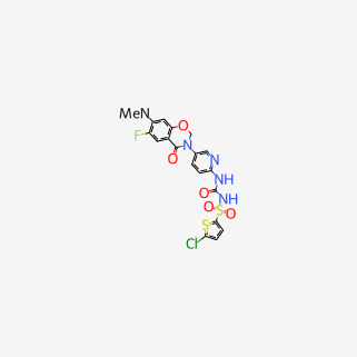 CNc1cc2c(cc1F)C(=O)N(c1ccc(NC(=O)NS(=O)(=O)c3ccc(Cl)s3)nc1)CO2